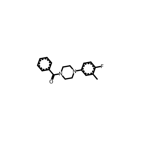 Cc1cc(N2CCN(C(=O)c3ccccc3)CC2)ccc1F